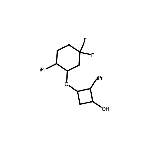 CC(C)C1CCC(F)(F)CC1OC1CC(O)C1C(C)C